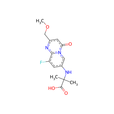 COCc1cc(=O)n2cc(NC(C)(C)C(=O)O)cc(F)c2n1